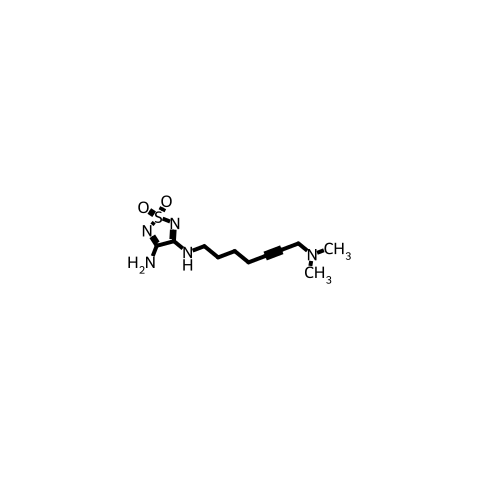 CN(C)CC#CCCCCNC1=NS(=O)(=O)N=C1N